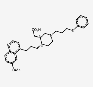 COc1ccc2nccc(CCC[C@@H]3CCN(CCCSc4ccccc4)C[C@@H]3CC(=O)O)c2c1